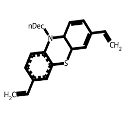 C=CC1=CC2Sc3cc(C=C)ccc3N(CCCCCCCCCC)C2C=C1